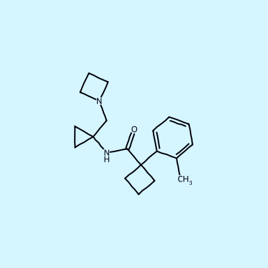 Cc1ccccc1C1(C(=O)NC2(CN3CCC3)CC2)CCC1